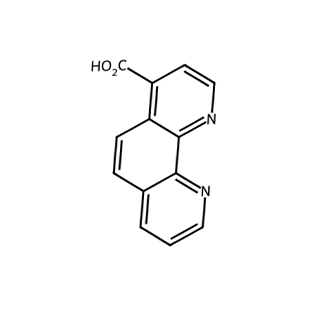 O=C(O)c1ccnc2c1ccc1cccnc12